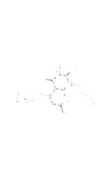 COCCn1c(=O)[nH]c(=O)c2c(CCC3CC3)cc(=O)oc21